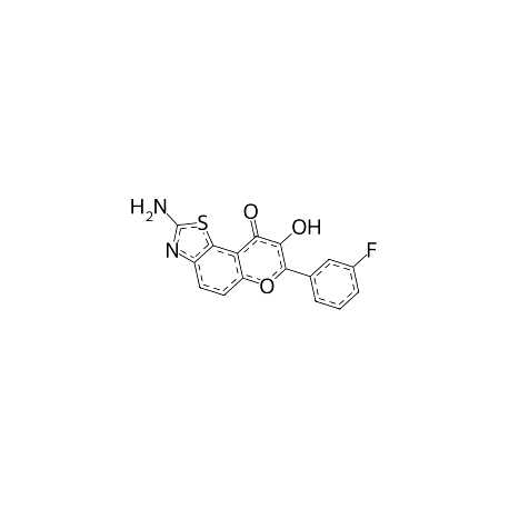 Nc1nc2ccc3oc(-c4cccc(F)c4)c(O)c(=O)c3c2s1